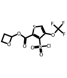 O=C(OC1CCO1)c1scc(OC(F)(F)F)c1S(=O)(=O)Cl